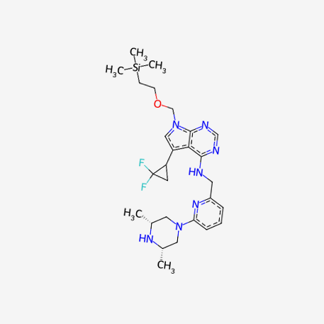 C[C@@H]1CN(c2cccc(CNc3ncnc4c3c(C3CC3(F)F)cn4COCC[Si](C)(C)C)n2)C[C@H](C)N1